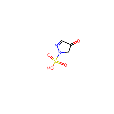 O=C1C=NN(S(=O)(=O)O)C1